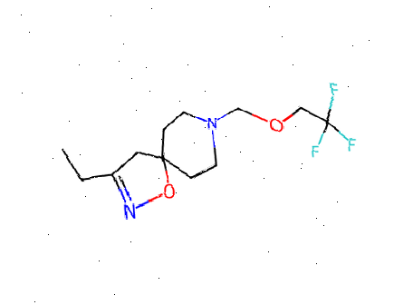 CCC1=NOC2(CCN(COCC(F)(F)F)CC2)C1